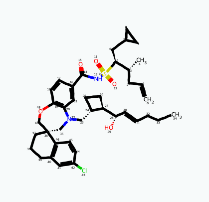 C=CC[C@@H](C)[C@H](CC1CC1)S(=O)(=O)NC(=O)c1ccc2c(c1)N(C[C@@H]1CC[C@H]1[C@@H](O)C=CCCC)C[C@]1(CCCc3cc(Cl)ccc31)CO2